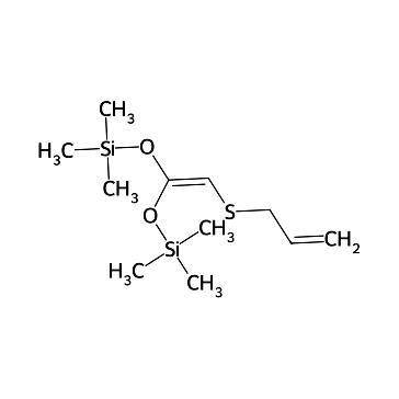 C=CCSC=C(O[Si](C)(C)C)O[Si](C)(C)C